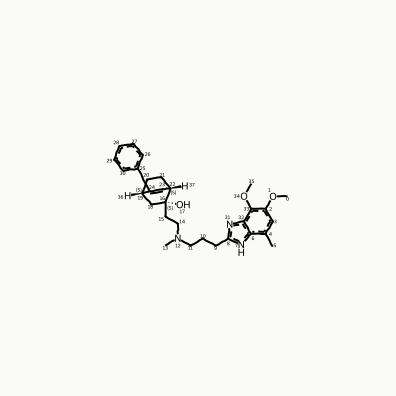 COc1cc(C)c2[nH]c(CCCN(C)CC[C@@]3(O)C[C@@H]4CC[C@H]3C=C4c3ccccc3)nc2c1OC